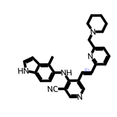 Cc1c(Nc2c(C#N)cncc2/C=C/c2cccc(CN3CCCCC3)n2)ccc2[nH]ccc12